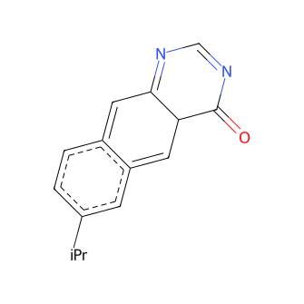 CC(C)c1ccc2c(c1)=CC1C(=O)N=CN=C1C=2